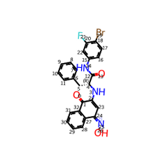 O=C1C(N[C@H](Cc2ccccc2)C(=O)Nc2ccc(Br)c(F)c2)=C/C(=N/O)c2ccccc21